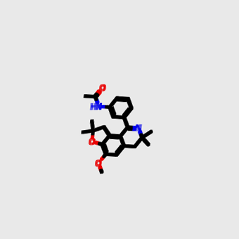 COc1cc2c(c3c1OC(C)(C)C3)C(c1cccc(NC(C)=O)c1)=NC(C)(C)C2